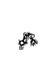 O=C(NC1(C(=O)NCc2ccc(Br)cc2F)CC1)c1cncnc1